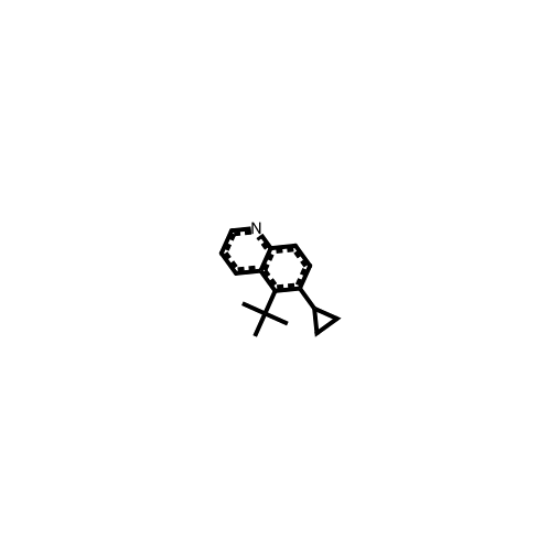 CC(C)(C)c1c(C2CC2)ccc2ncccc12